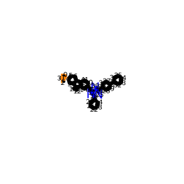 C=P(C)(C)c1ccc2c(c1)C(C)(C)c1cc(-c3nc(-c4ccccc4)nc(-c4ccc(-c5ccccc5)cc4)n3)ccc1-2